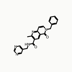 Cc1nc2ccn(Cc3ccccc3)c(=O)c2cc1C(=O)NCc1cncnc1